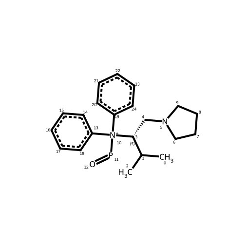 CC(C)[C@@H](CN1CCCC1)[N+](P=O)(c1ccccc1)c1ccccc1